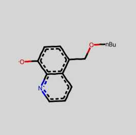 CCCCOCc1ccc([O])c2ncccc12